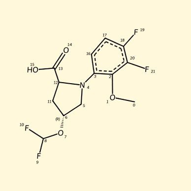 COc1c(N2C[C@H](OC(F)F)CC2C(=O)O)ccc(F)c1F